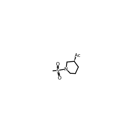 CC(=O)[C@H]1CCCN(S(C)(=O)=O)C1